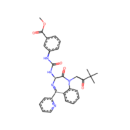 COC(=O)c1cccc(NC(=O)N[C@@H]2N=C(c3ccccn3)c3ccccc3N(CC(=O)C(C)(C)C)C2=O)c1